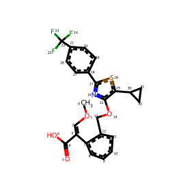 CO/C=C(/C(=O)O)c1ccccc1COc1nc(-c2ccc(C(F)(F)F)cc2)sc1C1CC1